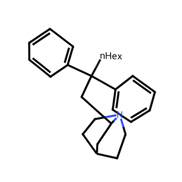 CCCCCCC(CC1CC2CCN1CC2)(c1ccccc1)c1ccccc1